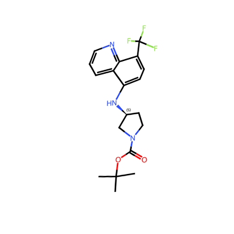 CC(C)(C)OC(=O)N1CC[C@H](Nc2ccc(C(F)(F)F)c3ncccc23)C1